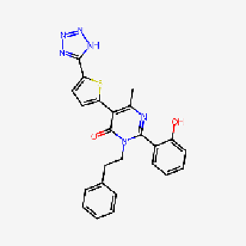 Cc1nc(-c2ccccc2O)n(CCc2ccccc2)c(=O)c1-c1ccc(-c2nnn[nH]2)s1